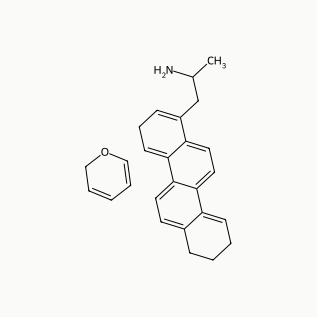 C1=CCOC=C1.CC(N)CC1=CCC=c2c1ccc1c3c(ccc21)CCCC=3